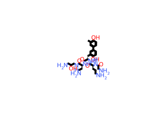 Cc1cc(-c2ccc(O)c(C[C@H](NC(=O)[C@H](CCCN)NC(=O)CN)C(=O)N[C@@H](CCN)C(=O)NCC(O)CN)c2)ccc1O